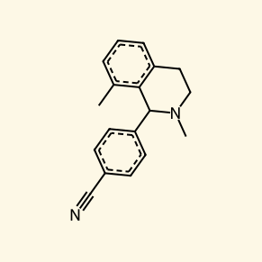 Cc1cccc2c1C(c1ccc(C#N)cc1)N(C)CC2